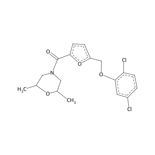 CC1CN(C(=O)c2ccc(COc3cc(Cl)ccc3Cl)o2)CC(C)O1